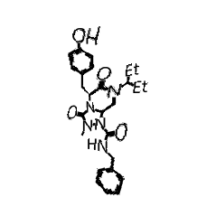 CCC(CC)N1CC2N(C(=O)N(C)N2C(=O)NCc2ccccc2)[C@@H](Cc2ccc(O)cc2)C1=O